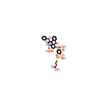 O=C(O)CCCSOOc1cc(Nc2cc(S(=O)(=O)O)c3[nH]c(=O)c(C(=O)c4ccccc4)c4c3c2C(=O)c2ccccc2-4)c(S(=O)(=O)O)cc1S(=O)(=O)O